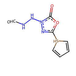 O=CNNn1nc([SH]2C=CC=C2)oc1=O